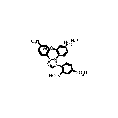 COc1cc([N+](=O)[O-])ccc1N1N(c2ccc(S(=O)(=O)O)cc2S(=O)(=O)O)C=NN1c1ccc([N+](=O)[O-])cc1.[Na+]